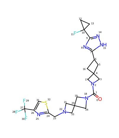 O=C(N1CC2(CC(c3nc(C4(F)CC4)n[nH]3)C2)C1)N1CC2(CN(Cc3nc(C(F)(F)F)cs3)C2)C1